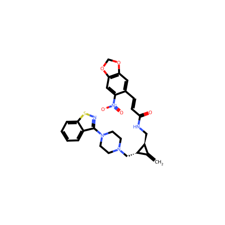 C=C1[C@H](CNC(=O)/C=C/c2cc3c(cc2[N+](=O)[O-])OCO3)[C@H]1CN1CCN(c2nsc3ccccc23)CC1